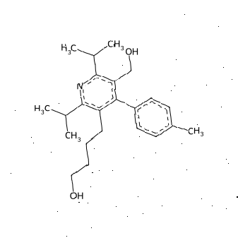 Cc1ccc(-c2c(CO)c(C(C)C)nc(C(C)C)c2CCCCO)cc1